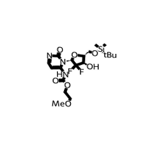 COCCOC(=O)Nc1ccnc(=O)n1[C@@H]1O[C@H](CO[Si](C)(C)C(C)(C)C)[C@@H](O)C1(F)F